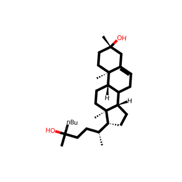 CCCCC(C)(O)CC[C@@H](C)[C@H]1CC[C@H]2C3CC=C4C[C@@](C)(O)CC[C@]4(C)[C@H]3CC[C@]12C